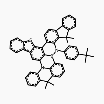 CC(C)(C)c1ccc(N2B3c4cccc5c4N(c4ccccc4C5(C)C)c4cc5c(sc6ccccc65)c(c43)-c3ccc4c(c32)C(C)(C)c2ccccc2-4)cc1